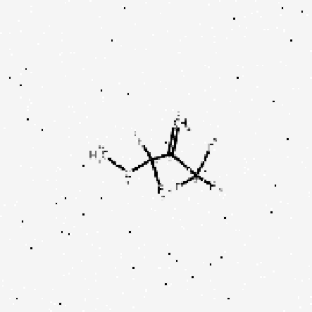 C=C(C(F)(F)F)C(F)(F)OC